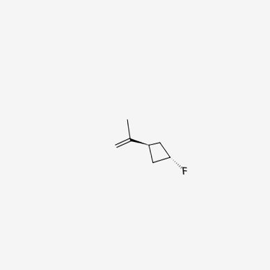 C=C(C)[C@H]1C[C@H](F)C1